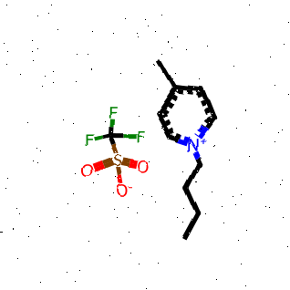 CCCC[n+]1ccc(C)cc1.O=S(=O)([O-])C(F)(F)F